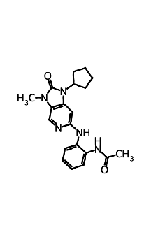 CC(=O)Nc1ccccc1Nc1cc2c(cn1)n(C)c(=O)n2C1CCCC1